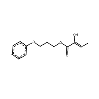 CC=C(O)C(=O)OCCCOc1cc[c]cc1